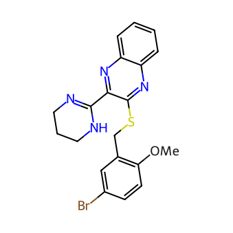 COc1ccc(Br)cc1CSc1nc2ccccc2nc1C1=NCCCN1